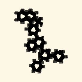 CC1(C)c2cc(-c3ccc(-c4nc(-c5ccccc5)cc(-c5cccnc5)n4)c4ccccc34)ccc2-c2c1ccc1ccccc21